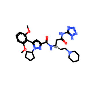 COc1cccc(OC)c1-c1cc(C(=O)N[C@@H](CCN2CCCCC2)CC(=O)Nc2nnn[nH]2)nn1C1CCCC1